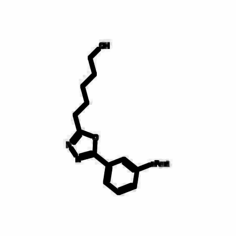 CCCCCc1cccc(-c2nnc(CCCCCO)o2)c1